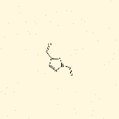 C=Cn1cc(C=O)cn1